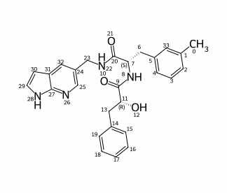 Cc1cccc(C[C@H](NC(=O)[C@H](O)Cc2ccccc2)C(=O)NCc2cnc3[nH]ccc3c2)c1